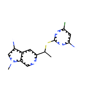 CC(Sc1nc(N)cc(Cl)n1)c1cc2c(N)cn(C)c2cn1